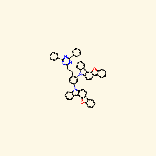 c1ccc(-c2nc(CCc3ccc(-n4c5ccccc5c5c6oc7ccccc7c6ccc54)cc3-n3c4ccccc4c4c5oc6ccccc6c5ccc43)nc(-c3ccccc3)n2)cc1